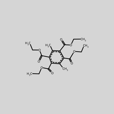 CCOC(=O)c1c(C)c(C(=O)OCC)c(C(=O)OCC)c(C)c1C(=O)OCC